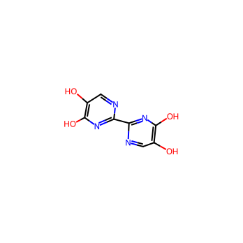 Oc1cnc(-c2ncc(O)c(O)n2)nc1O